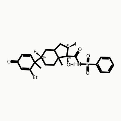 CCC1=CC(=O)C=CC1(C)[C@@]1(F)CCC2(C)C(C[C@@H](I)[C@]2(O)C(=O)NS(=O)(=O)c2ccccc2)C1